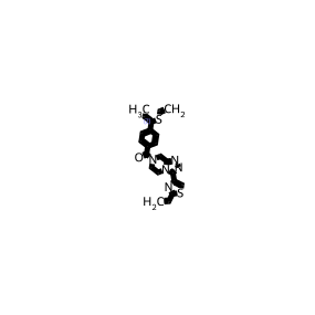 C=CS/C(=C\C)c1ccc(C(=O)N2CCn3c(nnc3-c3csc(C=C)n3)C2)cc1